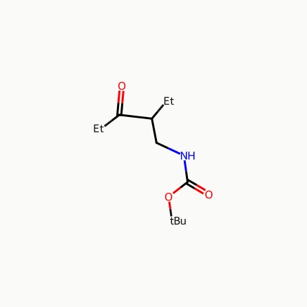 CCC(=O)C(CC)CNC(=O)OC(C)(C)C